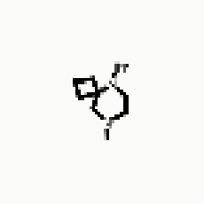 CC(C)N1CCN(C)CC12CCC2